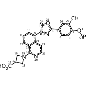 CC(C)Oc1ccc(-c2nc(-c3cccc4c(N5CC(C(=O)O)C5)nccc34)no2)cc1Cl